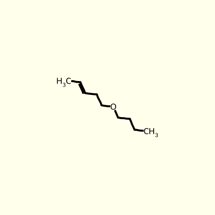 CC=CCCOCCCC